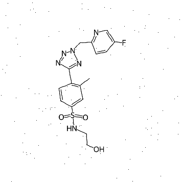 Cc1cc(S(=O)(=O)NCCO)ccc1-c1nnn(Cc2ccc(F)cn2)n1